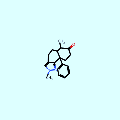 CC1C(=O)CCC2(c3ccccc3)c3nn(C)cc3CCC12